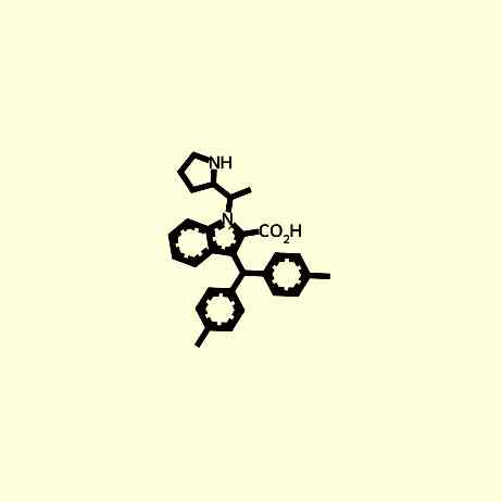 Cc1ccc(C(c2ccc(C)cc2)c2c(C(=O)O)n(C(C)C3CCCN3)c3ccccc23)cc1